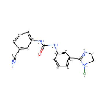 N#Cc1cccc(NC(=O)Nc2cccc(C3=NCCN3Cl)c2)c1